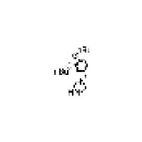 CCCCOc1ccc(CN2CCNCC2)cc1OCCCC